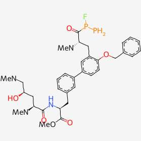 CNC[C@H](O)C[C@H](NC)C(=O)N[C@@H](Cc1cccc(-c2ccc(OCc3ccccc3)c(C[C@H](NC)C(=O)P(F)P)c2)c1)C(=O)OC